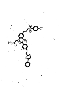 O=C(O)COc1ccc(CCCS(=O)(=O)c2ccc(Cl)cc2)cc1NC(=O)c1ccc(SCc2ncc(-c3ccccc3)s2)cc1